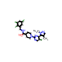 Cc1cnn(C)c1-c1nc(N2CCC(C(O)NCc3cc(F)cc(F)c3F)CC2)ncc1F